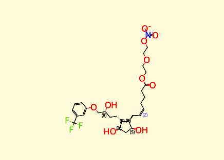 O=C(CCC/C=C\C[C@@H]1[C@@H](CC[C@@H](O)COc2cccc(C(F)(F)F)c2)[C@H](O)C[C@@H]1O)OCCOCCO[N+](=O)[O-]